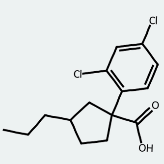 CCCC1CCC(C(=O)O)(c2ccc(Cl)cc2Cl)C1